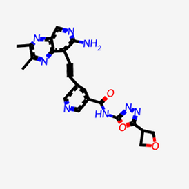 Cc1nc2cnc(N)c(C#Cc3cncc(C(=O)Nc4nnc(C5COC5)o4)c3)c2nc1C